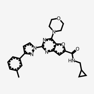 Cc1cccc(-c2ccn(-c3nc(N4CCOCC4)c4oc(C(=O)NCC5CC5)cc4n3)n2)c1